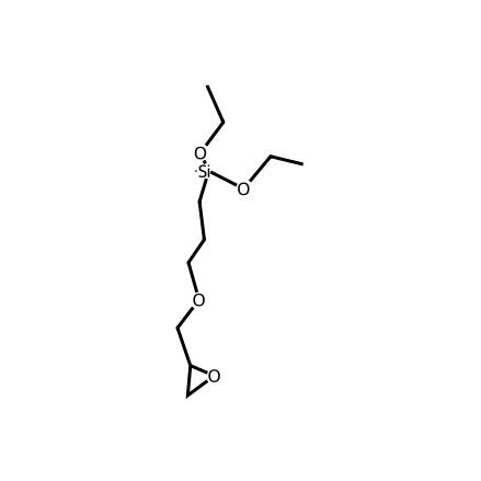 CCO[Si](CCCOCC1CO1)OCC